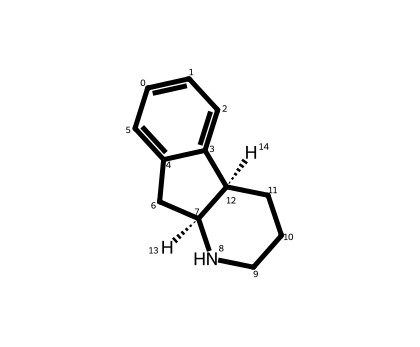 c1ccc2c(c1)C[C@@H]1NCCC[C@H]21